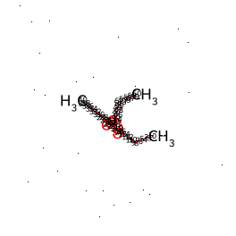 CCCCCCCC/C=C\CCCCCCCC(=O)OCC(COC(=O)CCCCCCCCCCCCCCC)OC(=O)CCCCCCC/C=C\CCCCCCCC